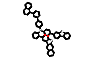 c1cc(-c2ccc(N(c3ccc(-c4ccc5c(c4)oc4ccccc45)cc3)c3ccccc3-c3ccc4oc5cc6ccccc6cc5c4c3)cc2)cc(-c2cccc3ccccc23)c1